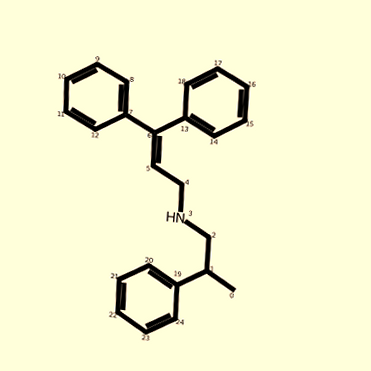 CC(CNCC=C(c1ccccc1)c1ccccc1)c1ccccc1